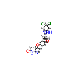 O=C1CCc2c(OC3=CC=C4O[C@@H]5[C@@H](c6nc7cc(Cl)c(Cl)cc7[nH]6)[C@@H]5C4C3)ccnc2N1